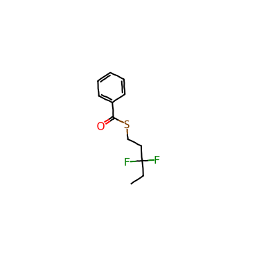 CCC(F)(F)CCSC(=O)c1ccccc1